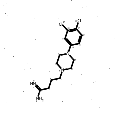 N=C(N)CCCN1CCN(c2ccc(Cl)c(Cl)c2)CC1